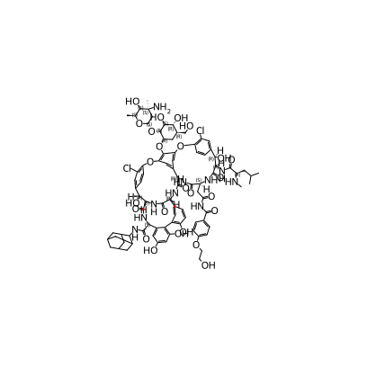 CN[C@H](CC(C)C)C(=O)N[C@H]1C(=O)N[C@@H](CC(=O)NC(=O)c2ccc(OCCO)cc2)C(=O)N[C@H]2C(=O)N[C@H]3C(=O)N[C@H](C(=O)N[C@H](C(=O)NC4C5CC6CC(C5)CC4C6)c4cc(O)cc(O)c4-c4cc3ccc4O)[C@H](O)c3ccc(c(Cl)c3)Oc3cc2cc(c3O[C@@H]2C[C@H](CO)[C@@H](O)[C@H](O)[C@H]2O[C@H]2C[C@](C)(N)[C@H](O)[C@H](C)O2)Oc2ccc(cc2Cl)[C@H]1O